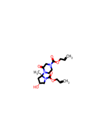 C=CCOC(=O)N1CCN([C@]2(C)C[C@@H](O)CN2C(=O)OCC=C)C(=O)C1